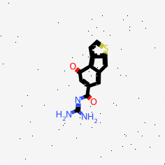 NC(N)=NC(=O)C1=CC(=O)C2=c3ccsc3=CC2=C1